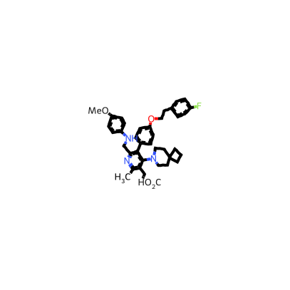 COc1ccc(NCc2nc(C)c(CC(=O)O)c(N3CCC4(CCC4)CC3)c2-c2ccc(OCCc3ccc(F)cc3)cc2)cc1